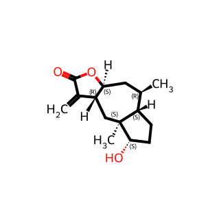 C=C1C(=O)O[C@H]2C[C@@H](C)[C@@H]3CC[C@H](O)[C@@]3(C)C[C@H]12